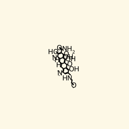 COCCNCc1cc(N(C)C)c2c(c1O)C(=O)C1=C(O)[C@]3(O)C(=O)C(C(N)=O)=C(O)[C@@H](N(C)C)[C@@H]3C[C@@H]1C2